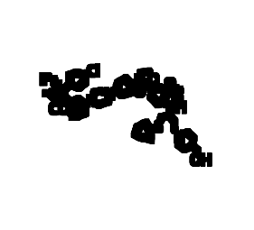 Cc1c(C(=O)O)c(-c2cccc(N3CCN(c4ccc(N5CCO[P@]5(=O)c5ccc(NC(CCN6CCC(CO)CC6)CSc6ccccc6)c(S(C)(=O)=O)c5)cc4)CC3)c2)c(-c2ccc(Cl)cc2)n1C(C)C